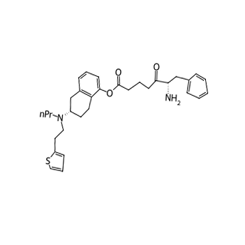 CCCN(CCc1cccs1)[C@H]1CCc2c(cccc2OC(=O)CCCC(=O)[C@@H](N)Cc2ccccc2)C1